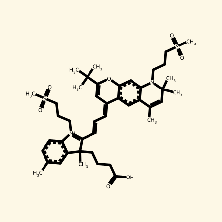 CC1=CC(C)(C)N(CCCS(C)(=O)=O)c2cc3c(cc21)/C(=C/C=C/C1=[N+](CCCS(C)(=O)=O)c2ccc(C)cc2C1(C)CCCC(=O)O)C=C(C(C)(C)C)O3